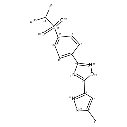 Cc1cc(-c2nc(-c3ccc(S(=O)(=O)C(F)F)cc3)no2)n[nH]1